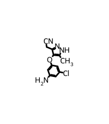 Cc1[nH]nc(CC#N)c1Oc1cc(N)cc(Cl)c1